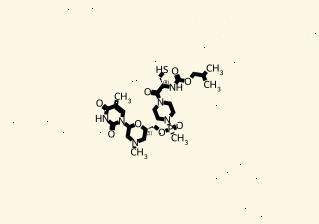 Cc1cn(C2CN(C)C[C@@H](COP(C)(=O)N3CCN(C(=O)[C@H](CS)NC(=O)OCC(C)C)CC3)O2)c(=O)[nH]c1=O